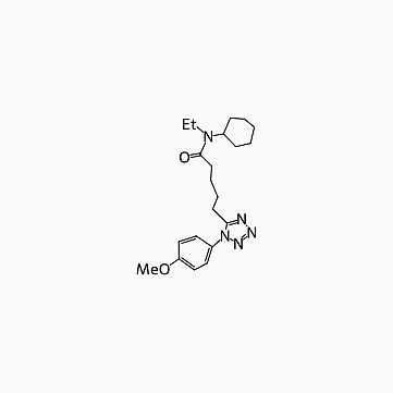 CCN(C(=O)CCCCc1nnnn1-c1ccc(OC)cc1)C1CCCCC1